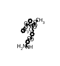 CCOC(=O)CN(CC(C(=O)OCc1ccccc1)c1ccccc1)C(=O)/C(C)=C/c1ccc(C(=O)Oc2ccc(C(=N)N)cc2)cc1